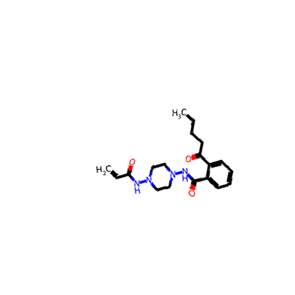 C=CC(=O)NN1CCN(NC(=O)c2ccccc2C(=O)CCCC)CC1